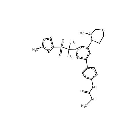 CNC(=O)Nc1ccc(-c2nc(N3CCOC[C@@H]3C)cc(C(C)(C)S(=O)(=O)c3nc(C)cs3)n2)cc1